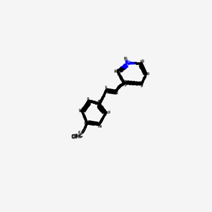 O=Cc1ccc(C=Cc2cccnc2)cc1